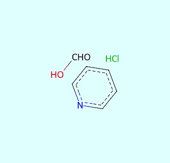 Cl.O=CO.c1ccncc1